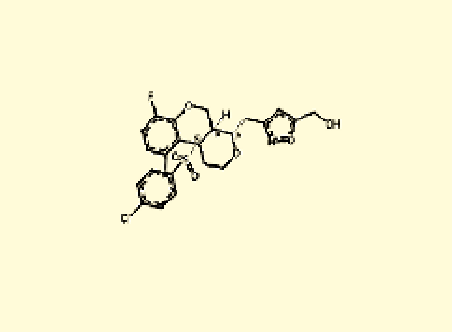 O=S(=O)(c1ccc(Cl)cc1)[C@@]12CCO[C@@H](Cc3cc(CO)on3)[C@@H]1COc1c(F)ccc(F)c12